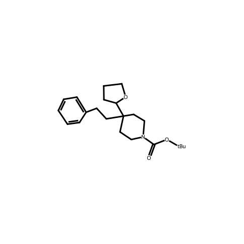 CC(C)(C)OC(=O)N1CCC(CCc2ccccc2)(C2CCCO2)CC1